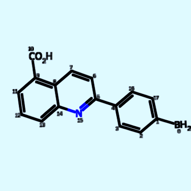 Bc1ccc(-c2ccc3c(C(=O)O)cccc3n2)cc1